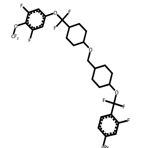 CCCc1ccc(C(F)(F)OC2CCC(COC3CCC(C(F)(F)Oc4cc(F)c(OC(F)(F)F)c(F)c4)CC3)CC2)c(F)c1